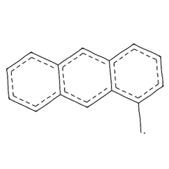 [CH2]c1cccc2cc3ccccc3cc12